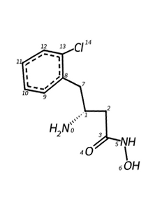 N[C@@H](CC(=O)NO)Cc1ccccc1Cl